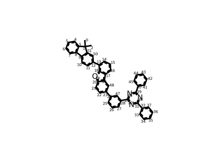 CC1(C)c2ccccc2-c2ccc(-c3cccc4c3oc3ccc(-c5cccc(-c6nc(-c7ccccc7)nc(-c7ccccc7)n6)c5)cc34)cc21